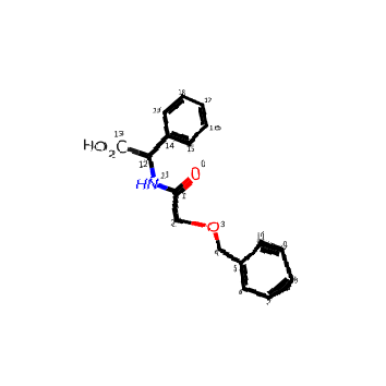 O=C(COCc1ccccc1)NC(C(=O)O)c1ccccc1